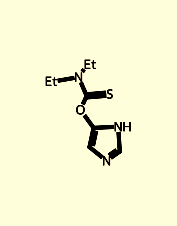 CCN(CC)C(=S)Oc1cnc[nH]1